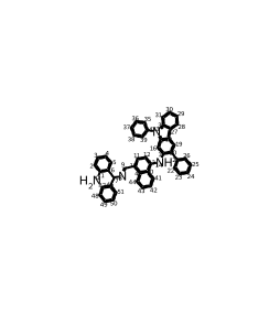 Nc1ccccc1C(/N=C/c1ccc(Nc2cc3c(cc2-c2ccccc2)c2ccccc2n3-c2ccccc2)c2ccccc12)c1ccccc1